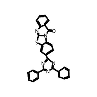 O=c1c2ccccc2nc2sc3cc(-c4nc(-c5ccccc5)nc(-c5ccccc5)n4)ccc3n12